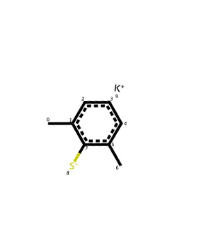 Cc1cccc(C)c1[S-].[K+]